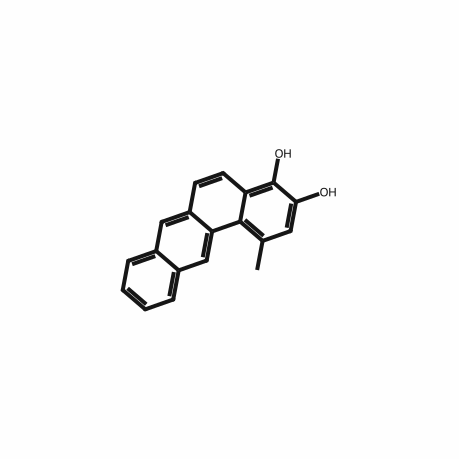 Cc1cc(O)c(O)c2ccc3cc4ccccc4cc3c12